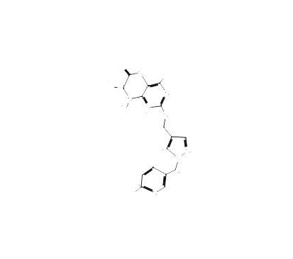 Cc1nc(NCc2cnn(Cc3ccc(F)nc3)c2)nc2c1NC(=O)[C@H](C)N2C